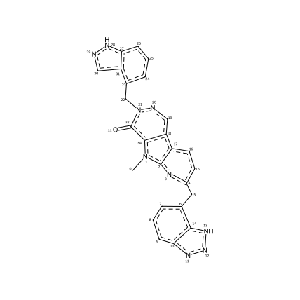 Cn1c2nc(Cc3cccc4nn[nH]c34)ccc2c2cnn(Cc3cccc4[nH]ncc34)c(=O)c21